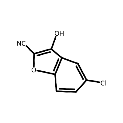 N#Cc1oc2ccc(Cl)cc2c1O